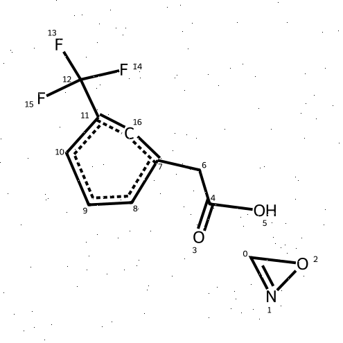 C1=NO1.O=C(O)Cc1cccc(C(F)(F)F)c1